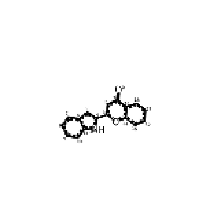 O=c1cc(-c2cc3ccccc3[nH]2)oc2ccccc12